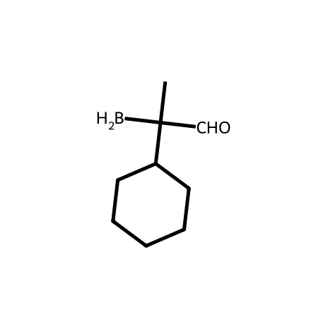 BC(C)(C=O)C1CCCCC1